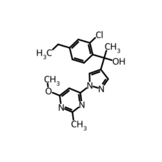 CCc1ccc(C(C)(O)c2cnn(-c3cc(OC)nc(C)n3)c2)c(Cl)c1